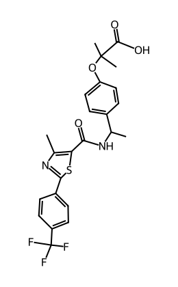 Cc1nc(-c2ccc(C(F)(F)F)cc2)sc1C(=O)NC(C)c1ccc(OC(C)(C)C(=O)O)cc1